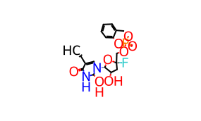 C#CC1=CN([C@@H]2O[C@](F)(COP3(=O)OCc4ccccc4O3)C[C@H]2O)C(O)NC1=O